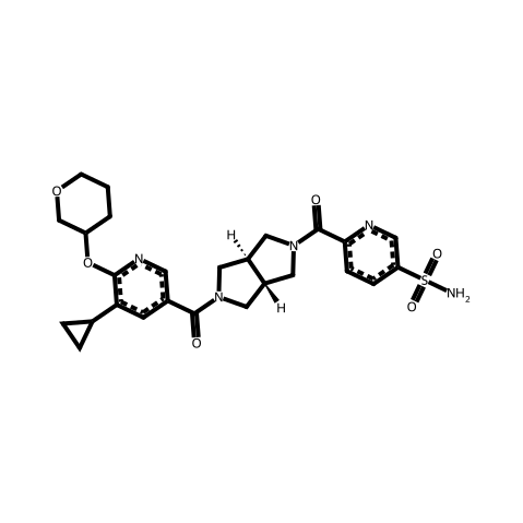 NS(=O)(=O)c1ccc(C(=O)N2C[C@@H]3CN(C(=O)c4cnc(OC5CCCOC5)c(C5CC5)c4)C[C@H]3C2)nc1